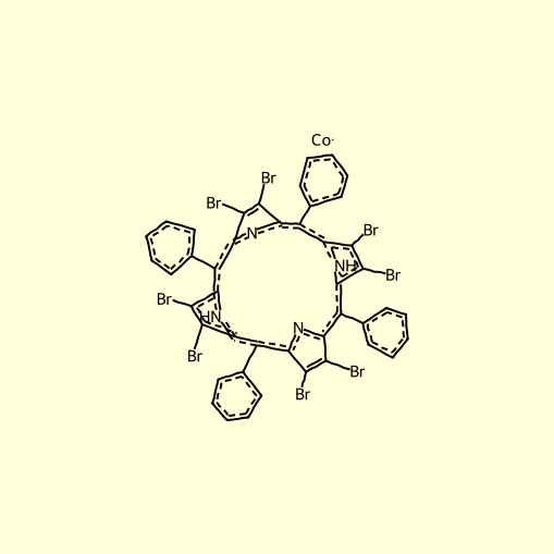 BrC1=C(Br)c2nc1c(-c1ccccc1)c1[nH]c(c(Br)c1Br)c(-c1ccccc1)c1nc(c(-c3ccccc3)c3[nH]c(c(Br)c3Br)c2-c2ccccc2)C(Br)=C1Br.[Co]